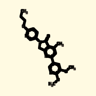 CCCOc1ccc(N2Cc3nc(-c4cnc(OC)c(OC)c4)cc(C)c3C2=O)cn1